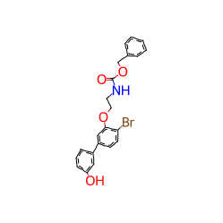 O=C(NCCOc1cc(-c2cccc(O)c2)ccc1Br)OCc1ccccc1